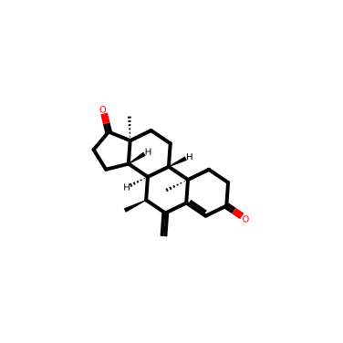 C=C1C2=CC(=O)CC[C@]2(C)[C@H]2CC[C@]3(C)C(=O)CC[C@H]3[C@@H]2[C@@H]1C